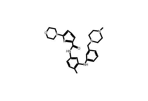 Cc1ccc(NC(=O)c2cccc(N3CCOCC3)n2)cc1Nc1cccc(CN2CCN(C)CC2)c1